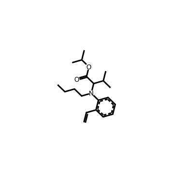 C=Cc1ccccc1N(CCCC)C(C(=O)OC(C)C)C(C)C